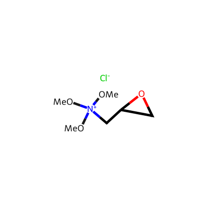 CO[N+](CC1CO1)(OC)OC.[Cl-]